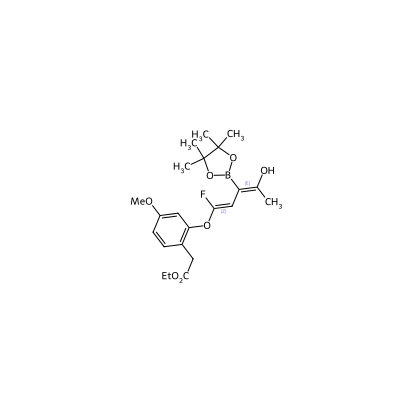 CCOC(=O)Cc1ccc(OC)cc1O/C(F)=C/C(B1OC(C)(C)C(C)(C)O1)=C(\C)O